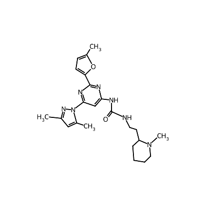 Cc1cc(C)n(-c2cc(NC(=O)NCCC3CCCCN3C)nc(-c3ccc(C)o3)n2)n1